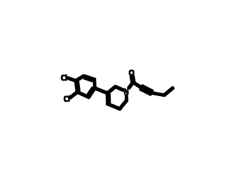 CCC#CC(=O)N1CCC=C(c2ccc(Cl)c(Cl)c2)C1